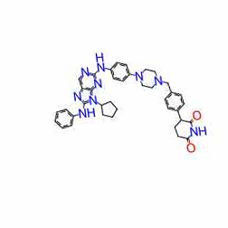 O=C1CCC(c2ccc(CN3CCN(c4ccc(Nc5ncc6nc(Nc7ccccc7)n(C7CCCC7)c6n5)cc4)CC3)cc2)C(=O)N1